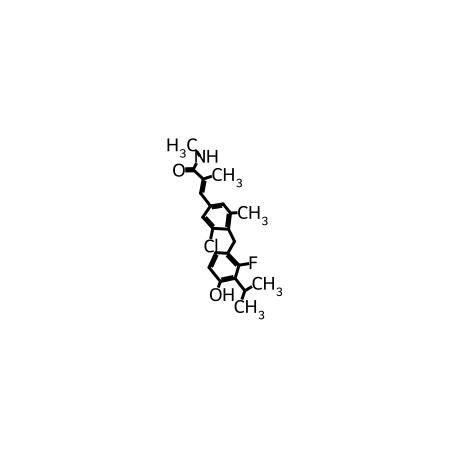 CNC(=O)/C(C)=C/c1cc(C)c(Cc2ccc(O)c(C(C)C)c2F)c(Cl)c1